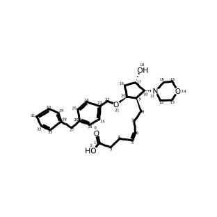 O=C(O)CC/C=C\CC[C@@H]1[C@@H](N2CCOCC2)[C@@H](O)C[C@@H]1OCc1ccc(Cc2ccccc2)cc1